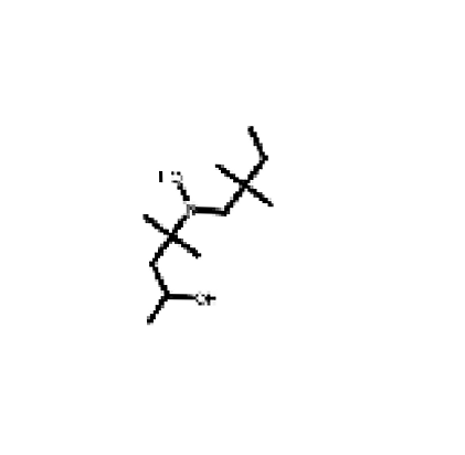 CCC(C)(C)CN(O)C(C)(C)CC(C)O